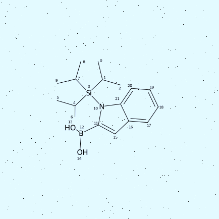 CC(C)[Si](C(C)C)(C(C)C)n1c(B(O)O)cc2ccccc21